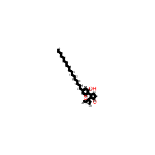 CCCCCCCCCCCCCCCCCCc1cc(O)c2c(c1)OC(CC)(CC)C1=C2CCC1=O